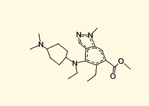 CCc1c(C(=O)OC)cc2c(cnn2C)c1N(CC)C1CCC(N(C)C)CC1